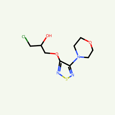 OC(CCl)COc1nsnc1N1CCOCC1